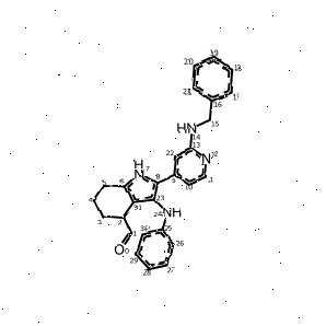 O=CC1CCCc2[nH]c(-c3ccnc(NCc4ccccc4)c3)c(Nc3ccccc3)c21